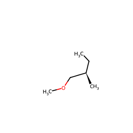 CC[C@@H](C)COC